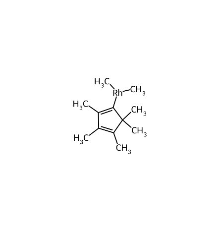 CC1=C(C)C(C)(C)[C]([Rh]([CH3])[CH3])=C1C